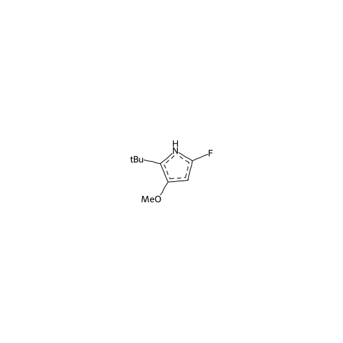 COc1cc(F)[nH]c1C(C)(C)C